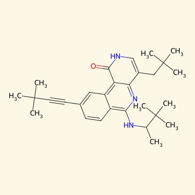 CC(Nc1nc2c(CC(C)(C)C)c[nH]c(=O)c2c2cc(C#CC(C)(C)C)ccc12)C(C)(C)C